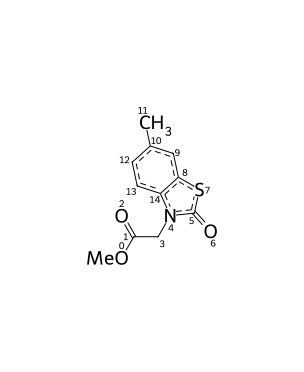 COC(=O)Cn1c(=O)sc2cc(C)ccc21